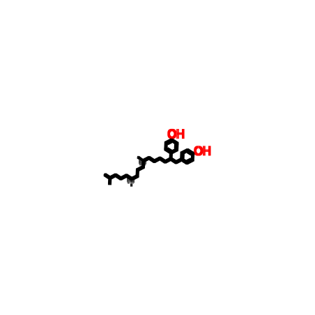 CC(C)CCC[C@@H](C)CCC[C@@H](C)CCCCC(Cc1ccc(O)cc1)c1ccc(O)cc1